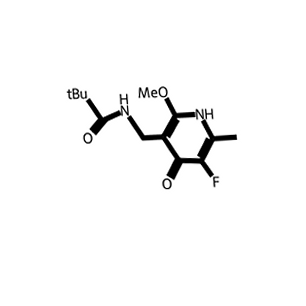 COc1[nH]c(C)c(F)c(=O)c1CNC(=O)C(C)(C)C